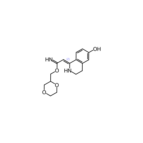 N=C(/C=C1\NCCc2cc(O)ccc21)OCC1COCCO1